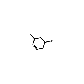 CC1CC(C(C)C)CC=N1